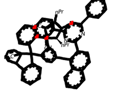 CCCC1=C(C)[C@]2(c3ccccc3C3(c4ccccc4C4C=CC=CC43C)c3ccc(-c4c(-c5nc(-c6ccccc6)nc(-c6ccccc6C)n5)ccc5ccccc45)cc32)[C@H](CCC)C1CC